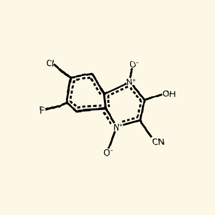 N#Cc1c(O)[n+]([O-])c2cc(Cl)c(F)cc2[n+]1[O-]